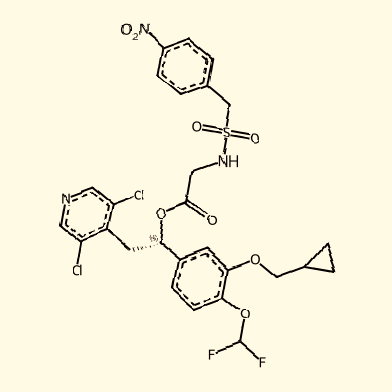 O=C(CNS(=O)(=O)Cc1ccc([N+](=O)[O-])cc1)O[C@@H](Cc1c(Cl)cncc1Cl)c1ccc(OC(F)F)c(OCC2CC2)c1